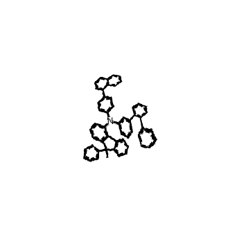 CC1(c2ccccc2)c2ccccc2-c2c(N(c3ccc(-c4cccc5ccccc45)cc3)c3cccc(-c4ccccc4-c4ccccc4)c3)cccc21